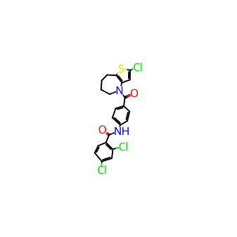 O=C(Nc1ccc(C(=O)N2CCCCc3sc(Cl)cc32)cc1)c1ccc(Cl)cc1Cl